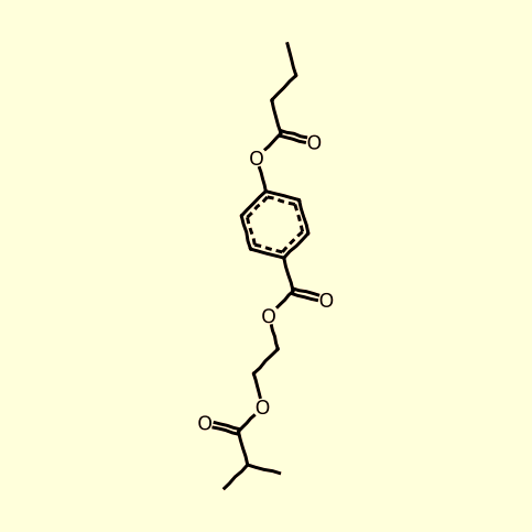 CCCC(=O)Oc1ccc(C(=O)OCCOC(=O)C(C)C)cc1